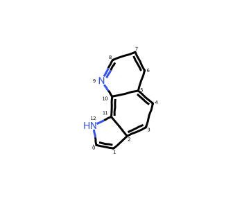 [c]1cc2ccc3cccnc3c2[nH]1